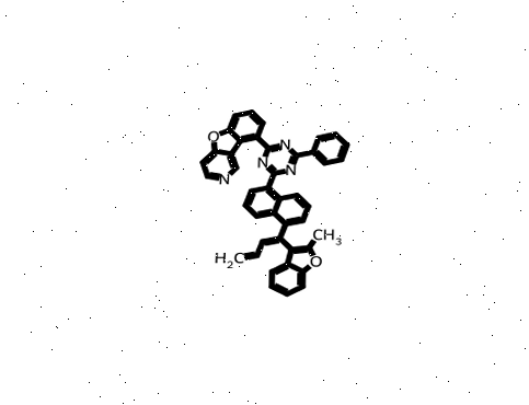 C=C/C=C(\c1c(C)oc2ccccc12)c1cccc2c(-c3nc(-c4ccccc4)nc(-c4cccc5oc6ccncc6c45)n3)cccc12